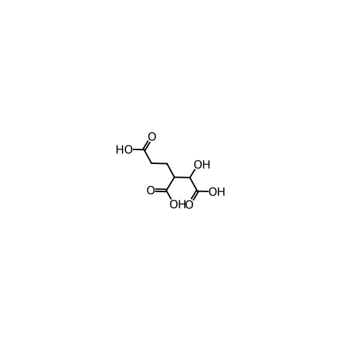 O=C(O)CCC(C(=O)O)C(O)C(=O)O